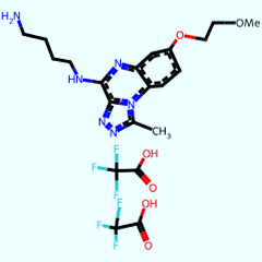 COCCOc1ccc2c(c1)nc(NCCCCN)c1nnc(C)n12.O=C(O)C(F)(F)F.O=C(O)C(F)(F)F